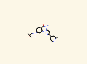 Cn1c(=O)c2ccc(NCC(C)(C)O)cc2n2nc(-c3ccnc(C(F)(F)F)c3)cc12